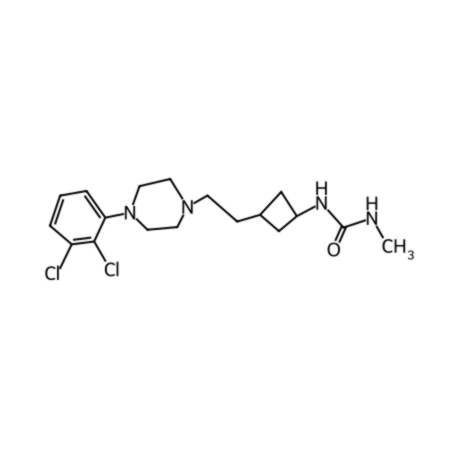 CNC(=O)NC1CC(CCN2CCN(c3cccc(Cl)c3Cl)CC2)C1